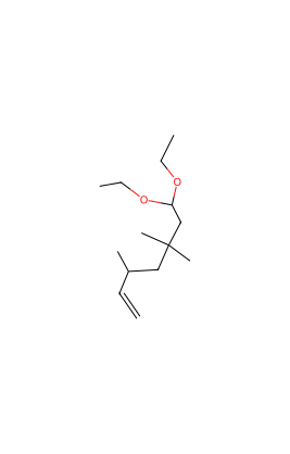 C=CC(C)CC(C)(C)CC(OCC)OCC